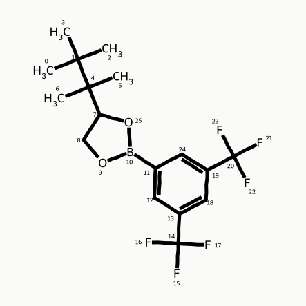 CC(C)(C)C(C)(C)C1COB(c2cc(C(F)(F)F)cc(C(F)(F)F)c2)O1